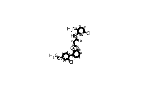 COc1ccc(-c2cccc3nc(CC(=O)Nc4nc(Cl)ccc4N)oc23)c(Cl)c1